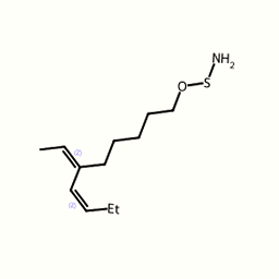 C/C=C(\C=C/CC)CCCCCOSN